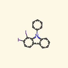 Ic1ccc2c3ccccc3n(-c3ccccc3)c2c1I